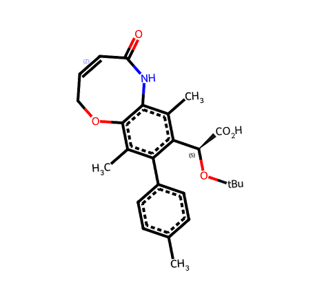 Cc1ccc(-c2c(C)c3c(c(C)c2[C@H](OC(C)(C)C)C(=O)O)NC(=O)/C=C\CO3)cc1